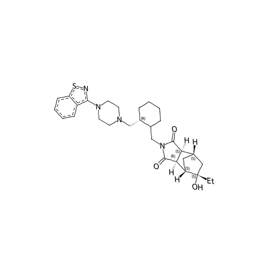 CC[C@]1(O)C[C@@H]2C[C@H]1[C@H]1C(=O)N(CC3CCCC[C@H]3CN3CCN(c4nsc5ccccc45)CC3)C(=O)[C@@H]21